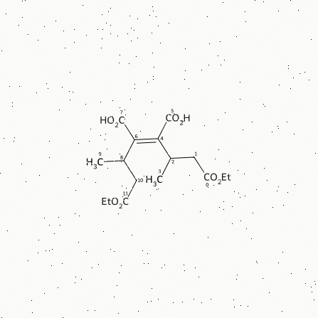 CCOC(=O)CC(C)/C(C(=O)O)=C(/C(=O)O)C(C)CC(=O)OCC